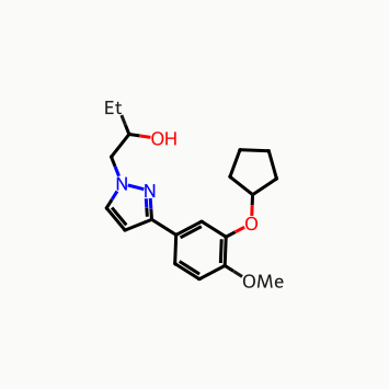 CCC(O)Cn1ccc(-c2ccc(OC)c(OC3CCCC3)c2)n1